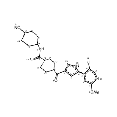 COc1cc(-c2cc(C(=O)N3CCC(C(=O)NC4CCC(C#N)CC4)CC3)n[nH]2)c(Cl)cn1